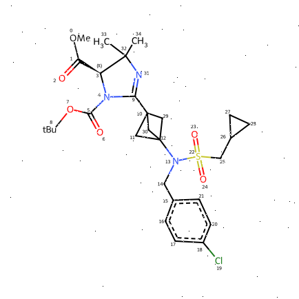 COC(=O)[C@@H]1N(C(=O)OC(C)(C)C)C(C23CC(N(Cc4ccc(Cl)cc4)S(=O)(=O)CC4CC4)(C2)C3)=NC1(C)C